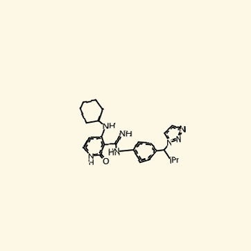 CC(C)C(c1ccc(NC(=N)c2c(NC3CCCCC3)cc[nH]c2=O)cc1)n1ccnn1